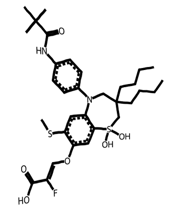 CCCCC1(CCCC)CN(c2ccc(NC(=O)C(C)(C)C)cc2)c2cc(SC)c(O/C=C(\F)C(=O)O)cc2S(O)(O)C1